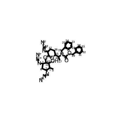 CC1C(N=[N+]=[N-])CC(N=[N+]=[N-])C(OC2OC(C(C)N(Cc3ccccc3)C(=O)OCc3ccccc3)CCC2N=[N+]=[N-])C1O